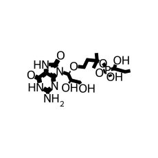 CCC(O)P(=O)(O)OC(C)(C)CCO[C@H]([C@H](O)CO)n1c(=O)[nH]c2c(=O)[nH]c(N)nc21